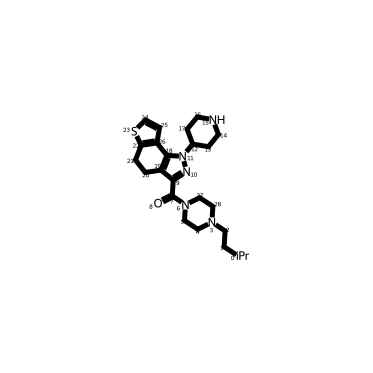 CC(C)CCN1CCN(C(=O)c2nn(C3CCNCC3)c3c2CCc2sccc2-3)CC1